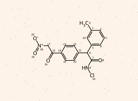 Cc1cccc(C(C(=O)NCl)c2ccc(C(=O)C[N+](=O)[O-])cc2)c1